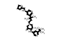 CC(C)(C)c1cncc(NC2CCN(CCC(C)(C)c3cncc(NCC4CCCO4)c3)CC2F)c1